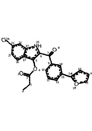 CCC(=O)Oc1c(C(=O)c2cccc(-c3ccco3)c2)[nH]c2cc(Cl)ccc12